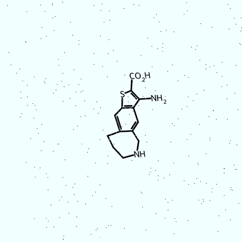 Nc1c(C(=O)O)sc2cc3c(cc12)CNCCC3